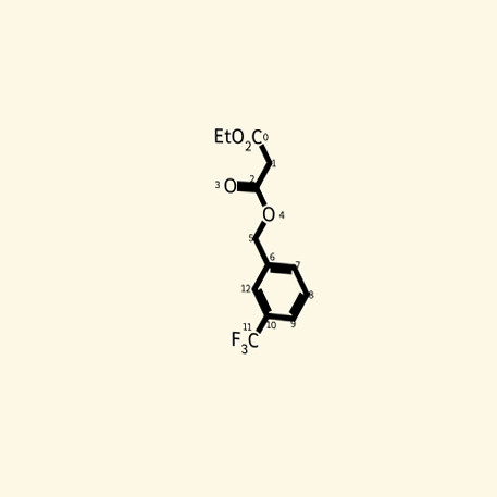 CCOC(=O)CC(=O)OCc1cccc(C(F)(F)F)c1